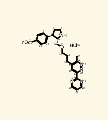 CCCCCCCCc1ccc([C@H]2CCN[C@@H]2COCCCc2cc(-c3ncccn3)nnc2C)cc1.Cl